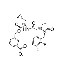 COC(=O)c1cccc(COC(=O)[C@H](CC2CC2)NC(=O)C[C@@H]2CCC(=O)N2Cc2cccc(F)c2F)c1